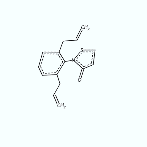 C=CCc1cccc(CC=C)c1-n1sccc1=O